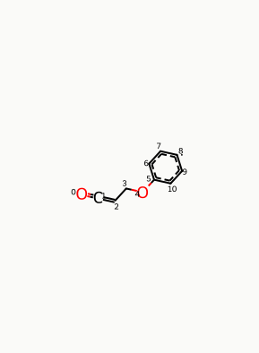 O=C=CCOc1cc[c]cc1